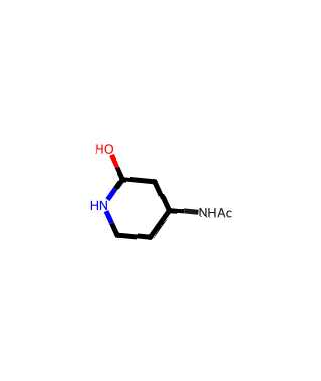 CC(=O)NC1CCNC(O)C1